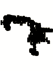 CO[C@@H]1C[C@H](O)C[C@H](Cn2cc(CCCN(CCOC34CC5(C)CC(C)(C3)C(Cn3ncc(-c6ccc(N7CCc8cccc(C(=O)Nc9nc%10ccccc%10s9)c8C7)nc6C(=O)O)c3C)(C5)C4)C(=O)OCc3ccc(NC(=O)[C@H](CCCNC(N)=O)NC(=O)[C@@H](NC(=O)CCCCCN4C(=O)C=CC4=O)C(C)C)cc3)nn2)O1